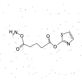 NOC(=O)CCCC(=O)Oc1nccs1